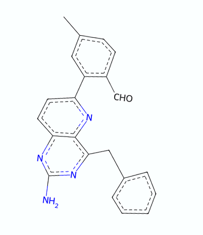 Cc1ccc(C=O)c(-c2ccc3nc(N)nc(Cc4ccccc4)c3n2)c1